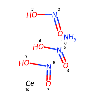 N.O=NO.O=NO.O=NO.[Ce]